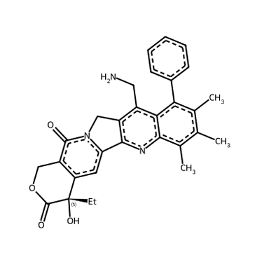 CC[C@@]1(O)C(=O)OCc2c1cc1n(c2=O)Cc2c-1nc1c(C)c(C)c(C)c(-c3ccccc3)c1c2CN